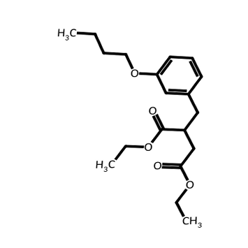 CCCCOc1cccc(CC(CC(=O)OCC)C(=O)OCC)c1